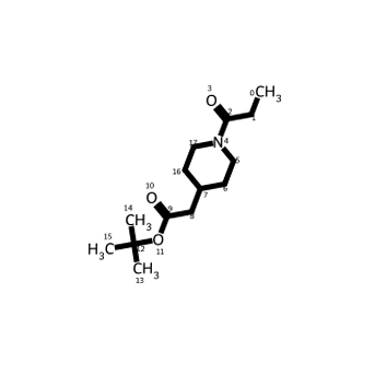 CCC(=O)N1CCC(CC(=O)OC(C)(C)C)CC1